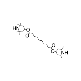 CC1CC(OC(=O)CCCCCCCCC(=O)OC2CC(C)(C)NC(C)(C)C2)CC(C)N1